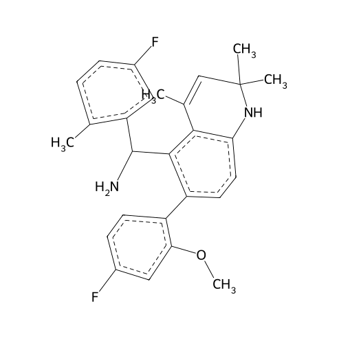 COc1cc(F)ccc1-c1ccc2c(c1C(N)c1cc(F)ccc1C)C(C)=CC(C)(C)N2